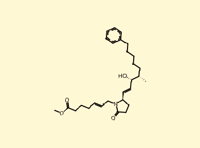 COC(=O)CCCC=CCN1C(=O)CC[C@@H]1C=C[C@H](O)[C@@H](C)CCCCCc1ccccc1